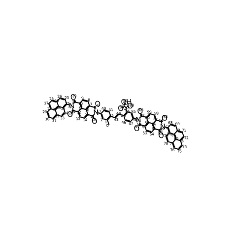 Cc1cc(N2C(=O)c3ccc4c5c(ccc(c35)C2=O)C(=O)N(c2ccc3ccc5cccc6ccc2c3c56)C4=O)ccc1/C=C/c1ccc(N2C(=O)c3ccc4c5c(ccc(c35)C2=O)C(=O)N(c2ccc3ccc5cccc6ccc2c3c56)C4=O)cc1S(=O)(=O)O